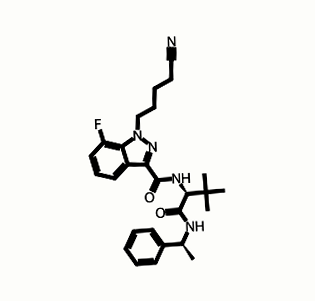 C[C@H](NC(=O)[C@@H](NC(=O)c1nn(CCCCC#N)c2c(F)cccc12)C(C)(C)C)c1ccccc1